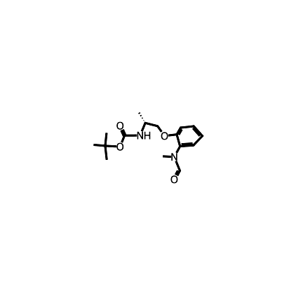 C[C@H](COc1ccccc1N(C)C=O)NC(=O)OC(C)(C)C